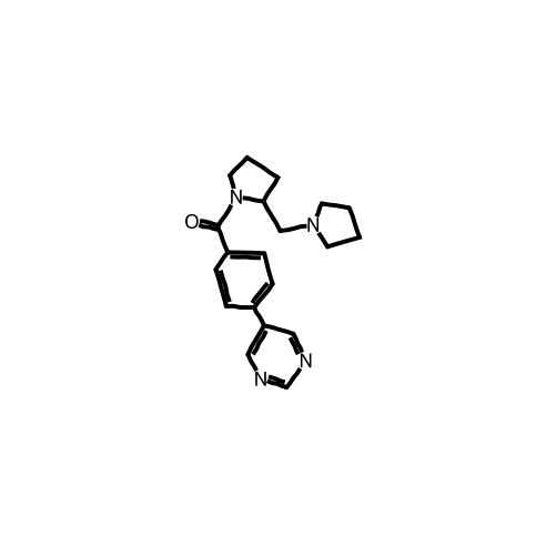 O=C(c1ccc(-c2cncnc2)cc1)N1CCCC1CN1CCCC1